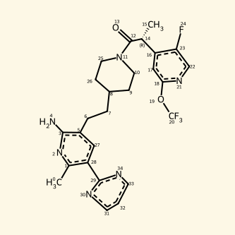 Cc1nc(N)c(CCC2CCN(C(=O)[C@H](C)c3cc(OC(F)(F)F)ncc3F)CC2)cc1-c1ncccn1